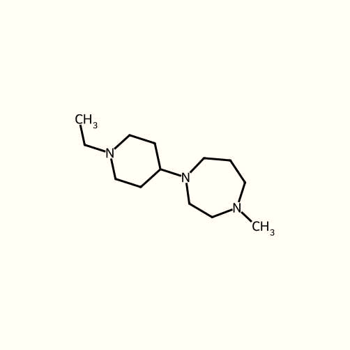 CCN1CCC(N2CCCN(C)CC2)CC1